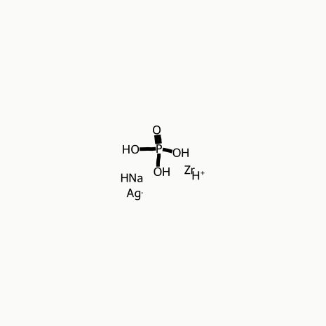 O=P(O)(O)O.[Ag].[H+].[NaH].[Zr]